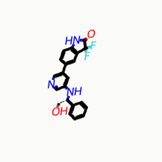 O=C1Nc2ccc(-c3cncc(N[C@@H](CO)c4ccccc4)c3)cc2C1(F)F